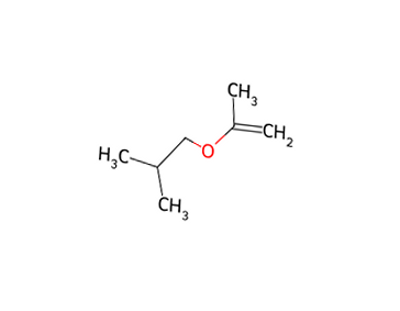 C=C(C)OCC(C)C